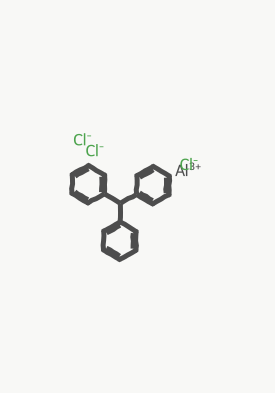 [Al+3].[Cl-].[Cl-].[Cl-].c1ccc(C(c2ccccc2)c2ccccc2)cc1